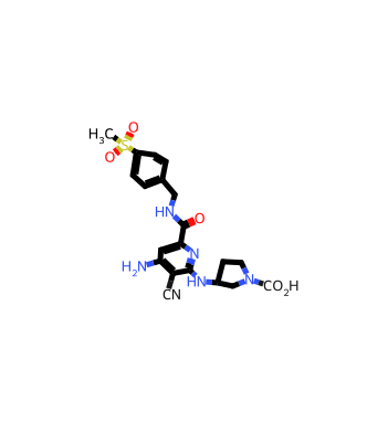 CS(=O)(=O)c1ccc(CNC(=O)c2cc(N)c(C#N)c(NC3CCN(C(=O)O)C3)n2)cc1